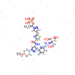 CCO[C@H]1CC[C@H](n2cc(NC(=O)c3csc(-c4cnn(C(C)OP(=O)(O)O)c4)n3)c(-c3nc(F)ccc3F)n2)CC1.NC(CO)(CO)CO